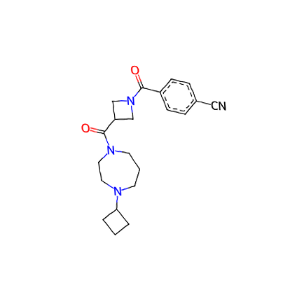 N#Cc1ccc(C(=O)N2CC(C(=O)N3CCCN(C4CCC4)CC3)C2)cc1